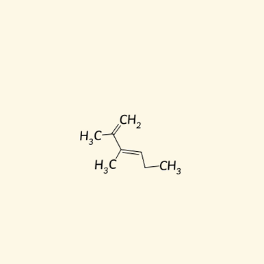 C=C(C)C(C)=CCC